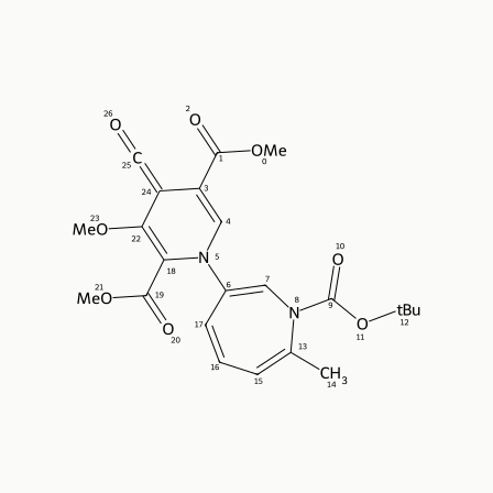 COC(=O)C1=CN(C2=CN(C(=O)OC(C)(C)C)C(C)=CC=C2)C(C(=O)OC)=C(OC)C1=C=O